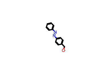 [O]Cc1ccc(N=Nc2ccccc2)cc1